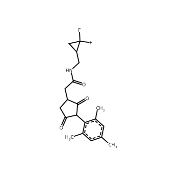 Cc1cc(C)c(C2C(=O)CC(CC(=O)NCC3CC3(F)F)C2=O)c(C)c1